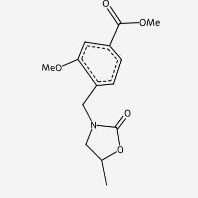 COC(=O)c1ccc(CN2CC(C)OC2=O)c(OC)c1